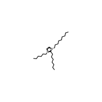 CCCCCCCCC[n+]1ccn(CCCCCC)c1CCCCCCC